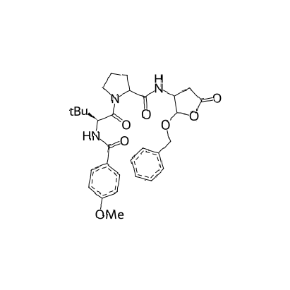 COc1ccc(C(=O)N[C@H](C(=O)N2CCCC2C(=O)NC2CC(=O)OC2OCc2ccccc2)C(C)(C)C)cc1